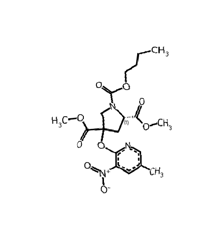 CCCCOC(=O)N1CC(Oc2ncc(C)cc2[N+](=O)[O-])(C(=O)OC)C[C@H]1C(=O)OC